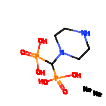 O=P(O)(O)C(N1CCNCC1)P(=O)(O)O.[Na].[Na]